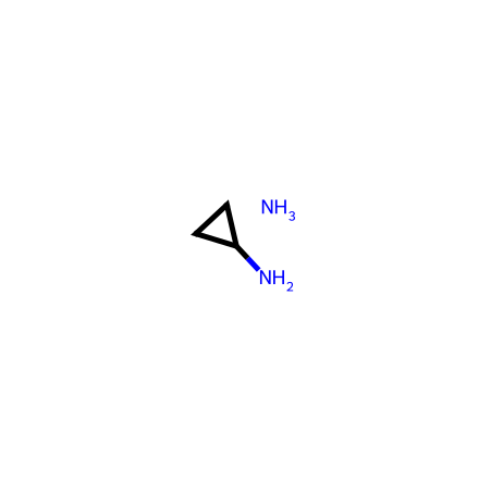 N.NC1CC1